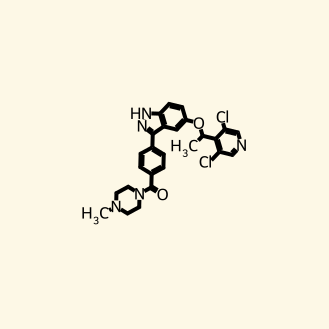 CC(Oc1ccc2[nH]nc(-c3ccc(C(=O)N4CCN(C)CC4)cc3)c2c1)c1c(Cl)cncc1Cl